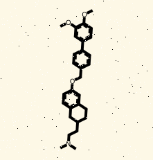 COc1ccc(-c2ccc(COc3ccc4c(c3)CCC(CCN(C)C)C4)cc2)cc1OC